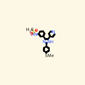 CSc1ccc(-c2nc(-c3cccc(NS(C)(=O)=O)c3)c(-c3ccncc3)[nH]2)cc1